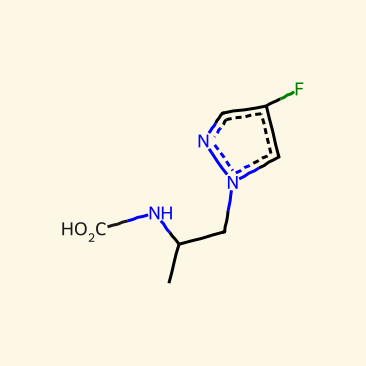 CC(Cn1cc(F)cn1)NC(=O)O